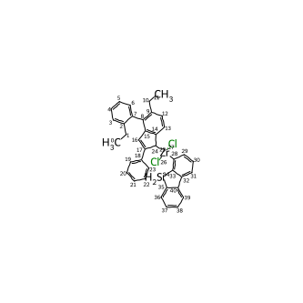 CCc1ccccc1-c1c(CC)ccc2c1C=C(c1ccccc1)[CH]2[Zr]([Cl])([Cl])[c]1cccc2c1[SiH2]c1ccccc1-2